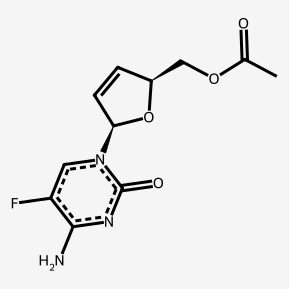 CC(=O)OC[C@@H]1C=C[C@H](n2cc(F)c(N)nc2=O)O1